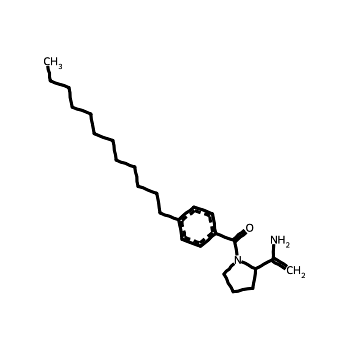 C=C(N)C1CCCN1C(=O)c1ccc(CCCCCCCCCCCC)cc1